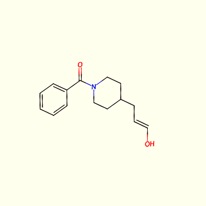 O=C(c1ccccc1)N1CCC(CC=CO)CC1